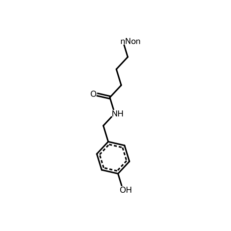 CCCCCCCCCCCCC(=O)NCc1ccc(O)cc1